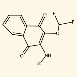 CCNC1=C(OC(F)F)C(=O)c2ccccc2C1=O